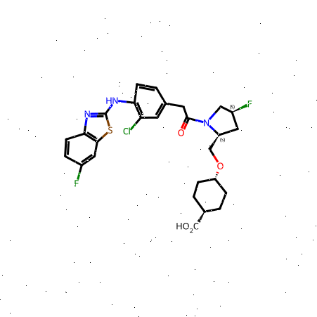 O=C(Cc1ccc(Nc2nc3ccc(F)cc3s2)c(Cl)c1)N1C[C@@H](F)C[C@H]1CO[C@H]1CC[C@H](C(=O)O)CC1